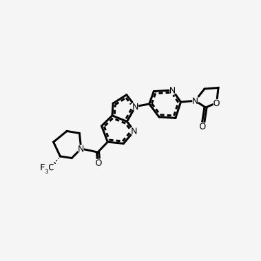 O=C(c1cnc2c(ccn2-c2ccc(N3CCOC3=O)nc2)c1)N1CCC[C@@H](C(F)(F)F)C1